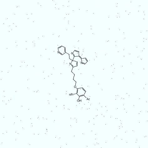 CCCc1c(OCCCCC2=NC(CCc3cccnc3)(C3=NC=CC3=C3C=CC=N3)C=C2)ccc(C(C)=O)c1O